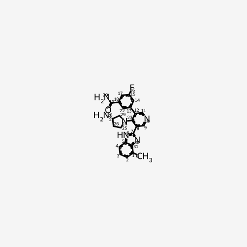 Cc1cccc2[nH]c(-c3cncc(-c4cc(F)cc(C(N)=O)c4)c3N3CC[C@H](N)C3)nc12